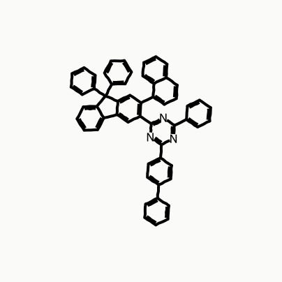 c1ccc(-c2ccc(-c3nc(-c4ccccc4)nc(-c4cc5c(cc4-c4cccc6ccccc46)C(c4ccccc4)(c4ccccc4)c4ccccc4-5)n3)cc2)cc1